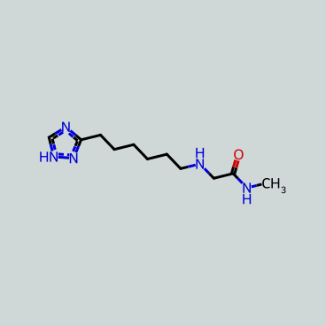 CNC(=O)CNCCCCCCc1nc[nH]n1